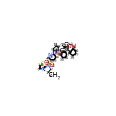 C=CCN(c1nccs1)S(=O)(=O)c1ccc(N2CC[C@H](CC(C)(C)[Si](O)(c3ccccc3)c3ccccc3)C2=O)nc1